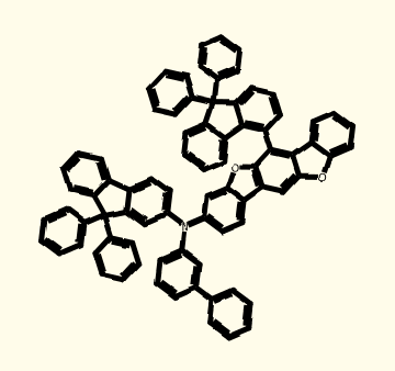 c1ccc(-c2cccc(N(c3ccc4c(c3)C(c3ccccc3)(c3ccccc3)c3ccccc3-4)c3ccc4c(c3)oc3c(-c5cccc6c5-c5ccccc5C6(c5ccccc5)c5ccccc5)c5c(cc34)oc3ccccc35)c2)cc1